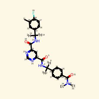 [2H]C([2H])(NC(=O)c1cc(C(=O)NC([2H])([2H])c2ccc(F)c(C)c2)ncn1)c1ccc(C(=O)N(CC)CC)cc1